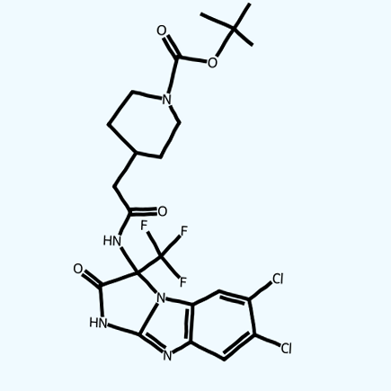 CC(C)(C)OC(=O)N1CCC(CC(=O)NC2(C(F)(F)F)C(=O)Nc3nc4cc(Cl)c(Cl)cc4n32)CC1